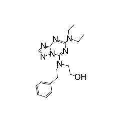 CCN(CC)c1nc(N(CCO)CCc2ccccc2)n2ncnc2n1